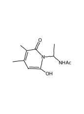 CC(=O)NC(C)n1c(O)cc(C)c(C)c1=O